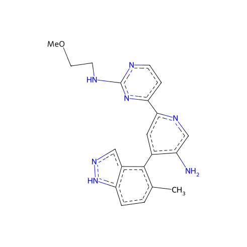 COCCNc1nccc(-c2cc(-c3c(C)ccc4[nH]ncc34)c(N)cn2)n1